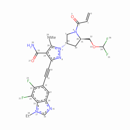 C=CC(=O)N1C[C@@H](n2nc(C#Cc3cc4ncn(CC)c4c(F)c3F)c(C(N)=O)c2NC)C[C@@H]1COC(F)F